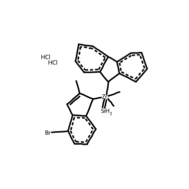 CC1=Cc2c(Br)cccc2[CH]1[Zr]([CH3])([CH3])(=[SiH2])[CH]1c2ccccc2-c2ccccc21.Cl.Cl